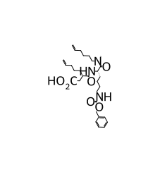 C=CCCCCN(C)C(=O)[C@H](CCCCNC(=O)OCc1ccccc1)NC(=O)[C@H](CCCC=C)CC(=O)O